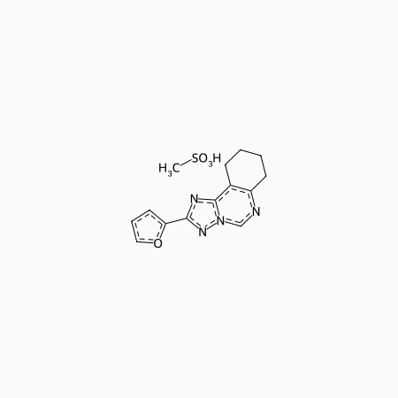 CS(=O)(=O)O.c1coc(-c2nc3c4c(ncn3n2)CCCC4)c1